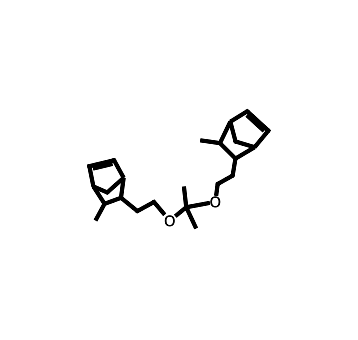 CC1C2C=CC(C2)C1CCOC(C)(C)OCCC1C2C=CC(C2)C1C